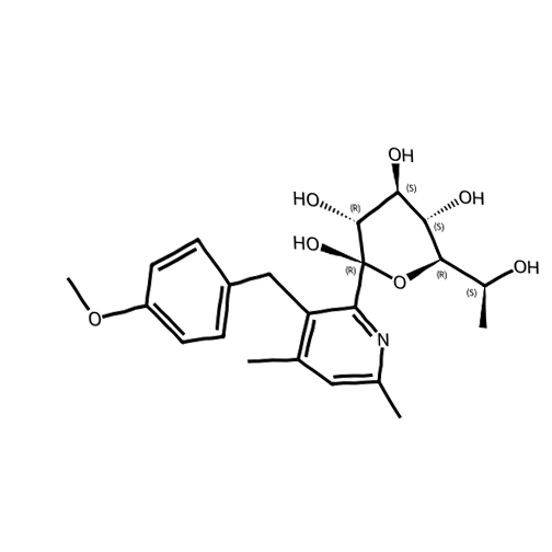 COc1ccc(Cc2c(C)cc(C)nc2[C@@]2(O)O[C@H]([C@H](C)O)[C@@H](O)[C@H](O)[C@H]2O)cc1